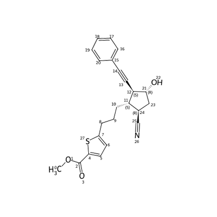 COC(=O)c1ccc(CCC[C@@H]2[C@@H](C#Cc3ccccc3)[C@H](O)C[C@H]2C#N)s1